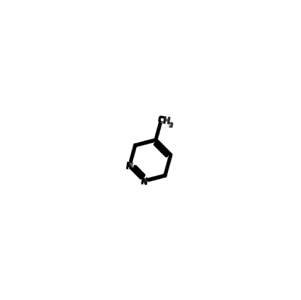 CC1=CCN=NC1